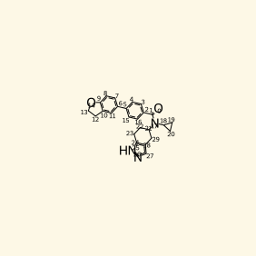 O=C(c1ccc(-c2ccc3c(c2)CCO3)cc1)N(C1CC1)C1CCc2[nH]ncc2C1